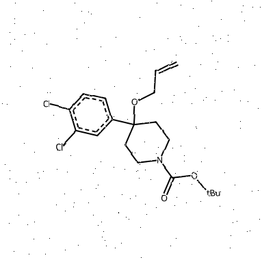 C=CCOC1(c2ccc(Cl)c(Cl)c2)CCN(C(=O)OC(C)(C)C)CC1